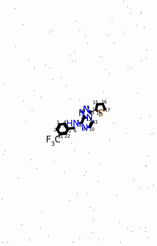 FC(F)(F)c1cccc(CNc2nccn3c([C@@H]4CCCS4)nnc23)c1